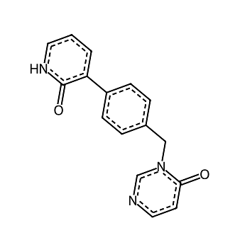 O=c1[nH]cccc1-c1ccc(Cn2cnccc2=O)cc1